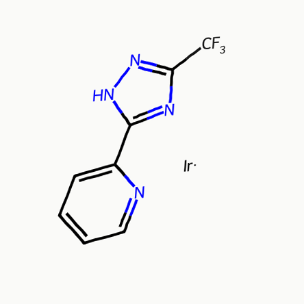 FC(F)(F)c1n[nH]c(-c2ccccn2)n1.[Ir]